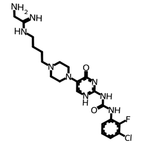 N=C(CN)NCCCCN1CCN(c2c[nH]c(NC(=O)Nc3cccc(Cl)c3F)nc2=O)CC1